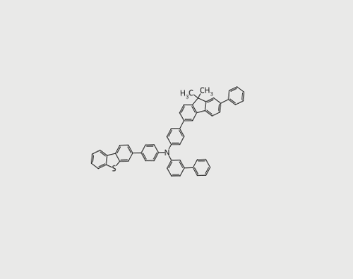 CC1(C)c2ccc(-c3ccc(N(c4ccc(-c5ccc6c(c5)sc5ccccc56)cc4)c4cccc(-c5ccccc5)c4)cc3)cc2-c2ccc(-c3ccccc3)cc21